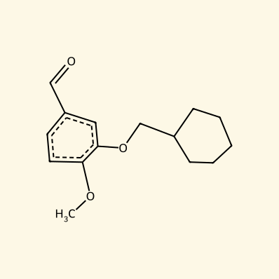 COc1ccc(C=O)cc1OCC1CCCCC1